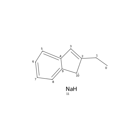 CCC1=Cc2ccccc2[CH]1.[NaH]